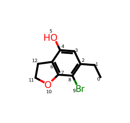 CCc1cc(O)c2c(c1Br)OCC2